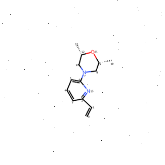 C=Cc1cccc(N2C[C@@H](C)O[C@@H](C)C2)n1